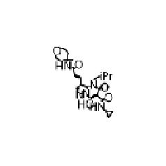 CC(C)Cn1c(=O)c(C(=O)NC2CC2)c(O)n2ncc(C=CC(=O)NC3(C)CCOCC3)c12